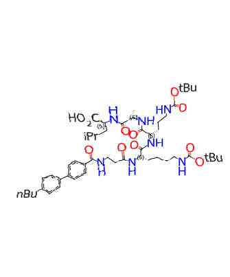 CCCCc1ccc(-c2ccc(C(=O)NCCC(=O)N[C@@H](CCCCNC(=O)OC(C)(C)C)C(=O)N[C@@H](CCCNC(=O)OC(C)(C)C)C(=O)N[C@@H](C)C(=O)N[C@@H](CC(C)C)C(=O)O)cc2)cc1